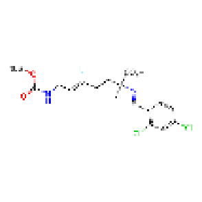 CC(C)(C)OC(=O)NCC=C(F)CCC(C)(N=Cc1ccc(Cl)cc1Cl)C(=O)O